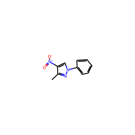 Cc1nn(-c2ccccc2)[c]c1[N+](=O)[O-]